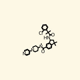 CN(C(=O)c1ccc2c(c1)C(NC(=O)C(C)(C)c1ccccc1Cl)CC2(C)C)C1CCN(c2ccncc2)CC1